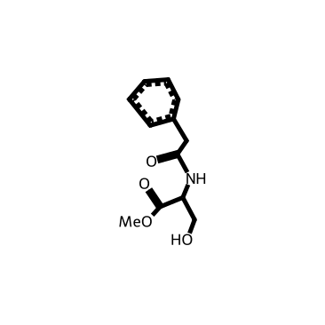 COC(=O)C(CO)NC(=O)Cc1ccccc1